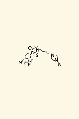 CC1(C)C(=O)N(c2ccc(C#N)c(C(F)(F)F)c2)C(=S)N1CCCCCN1CCN(C#N)CC1